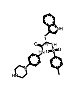 Cc1ccc(S(=O)(=O)N[C@@H](Cc2c[nH]c3ccccc23)C(=O)Nc2ccc(N3CCNCC3)cc2)cc1